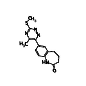 CSc1nnc(-c2ccc3c(c2)CCCC(=O)N3)c(C)n1